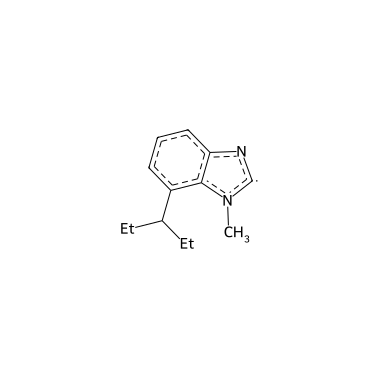 CCC(CC)c1cccc2n[c]n(C)c12